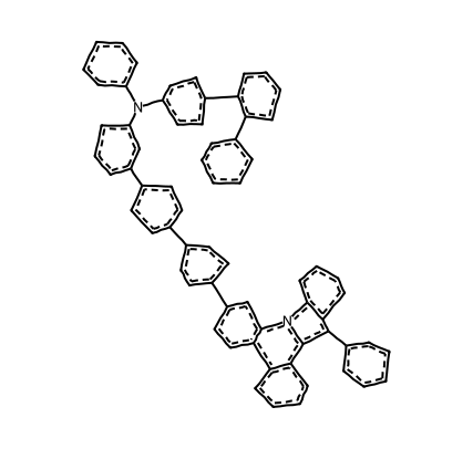 c1ccc(-c2ccccc2-c2ccc(N(c3ccccc3)c3cccc(-c4ccc(-c5ccc(-c6ccc7c8ccccc8c8c(-c9ccccc9)c9ccccc9n8c7c6)cc5)cc4)c3)cc2)cc1